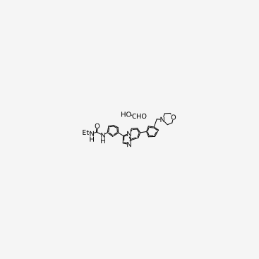 CCNC(=O)Nc1cccc(-c2cnc3cc(-c4cccc(CN5CCOCC5)c4)ccn23)c1.O=CO